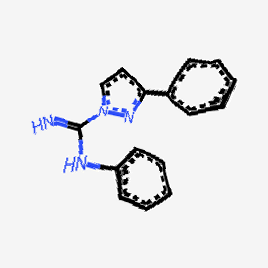 N=C(Nc1ccccc1)n1ccc(-c2ccccc2)n1